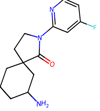 NC1CCCC2(CCN(c3cc(F)ccn3)C2=O)C1